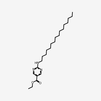 CCCCCCCCCCCCCCCCNc1ncc(C(=O)OCC)cn1